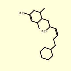 CC1C=C(N)CC(C)C1CC(N)/C=C\CCC1CCCCC1